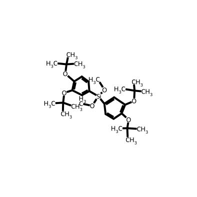 CO[Si](OC)(c1ccc(OC(C)(C)C)c(OC(C)(C)C)c1)c1ccc(OC(C)(C)C)c(OC(C)(C)C)c1